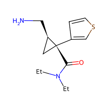 CCN(CC)C(=O)[C@@]1(c2ccsc2)C[C@H]1CN